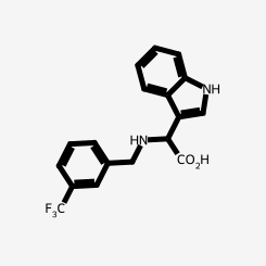 O=C(O)C(NCc1cccc(C(F)(F)F)c1)c1c[nH]c2ccccc12